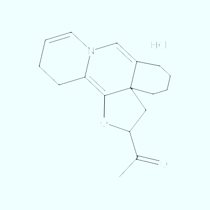 CC(=O)C1CC23CCCCC2=CN2C=CCCC2=C3O1.Cl